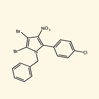 O=[N+]([O-])c1c(Br)c(Br)n(Cc2ccccc2)c1-c1ccc(Cl)cc1